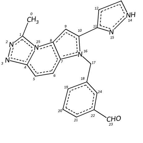 Cc1nnc2ccc3c(cc(-c4cc[nH]n4)n3Cc3cccc(C=O)c3)n12